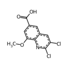 COc1cc(C(=O)O)cc2cc(Cl)c(Cl)nc12